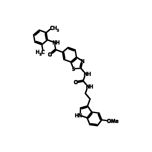 COc1ccc2[nH]cc(CCNC(=O)Nc3nc4ccc(C(=O)Nc5c(C)cccc5C)cc4s3)c2c1